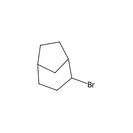 BrC1CCC2CCC1C2